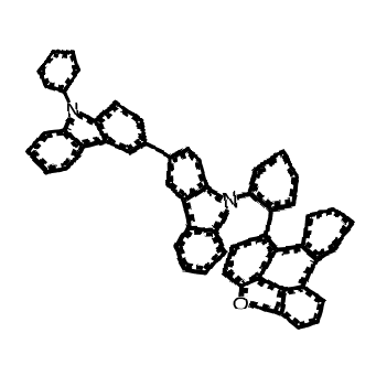 c1ccc(-n2c3ccccc3c3cc(-c4ccc5c(c4)c4ccccc4n5-c4ccccc4-c4ccc5oc6cccc7c8ccccc8c4c5c67)ccc32)cc1